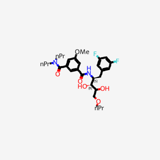 CCCOCC(O)[C@H](O)[C@H](Cc1cc(F)cc(F)c1)NC(=O)c1cc(OC)cc(C(=O)N(CCC)CCC)c1